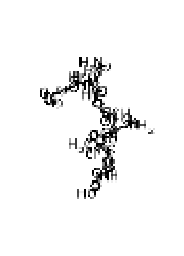 Cc1cccc2c(OC(=O)N(CCCC(N)=O)CCN(C)C(=O)OCc3ccc(NC(=O)[C@H](CCCNC(N)=O)NC(=O)[C@@H](NC(=O)OCCOCCN4C(=O)C=CC4=O)C(C)C)cc3)cc3c(c12)[C@H](CCl)CN3C(=O)c1cn2cc(NC(=O)c3ccc(O)cc3)ccc2n1